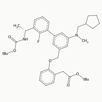 C[C@@H](NC(=O)OC(C)(C)C)c1cccc(-c2cc(COc3ccccc3CC(=O)OC(C)(C)C)cc(N(C)CC3CCCC3)c2)c1F